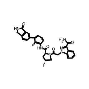 NC(=O)c1nn(CC(=O)N2C[C@H](F)C[C@H]2C(=O)Nc2cccc(-c3ccc4c(c3)C(=O)NC4)c2F)c2ccccc12